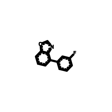 Fc1cccc(-c2cccc3ocnc23)c1